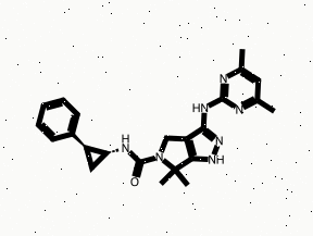 Cc1cc(C)nc(Nc2n[nH]c3c2CN(C(=O)N[C@@H]2C[C@H]2c2ccccc2)C3(C)C)n1